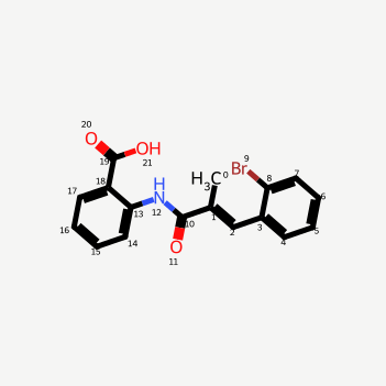 C/C(=C\c1ccccc1Br)C(=O)Nc1ccccc1C(=O)O